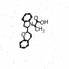 C=C(C(=O)O)N1c2ccccc2CC1C1C=Cc2ccccc2O1